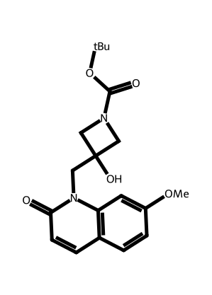 COc1ccc2ccc(=O)n(CC3(O)CN(C(=O)OC(C)(C)C)C3)c2c1